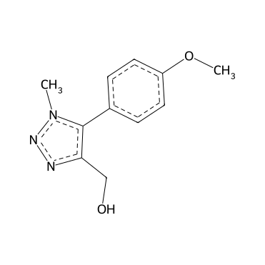 COc1ccc(-c2c(CO)nnn2C)cc1